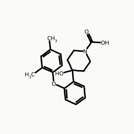 Cc1ccc(Oc2ccccc2C2(O)CCN(C(=O)O)CC2)c(C)c1